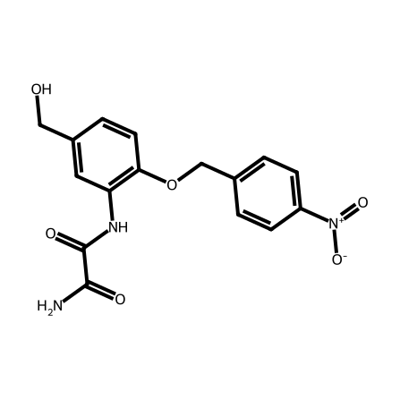 NC(=O)C(=O)Nc1cc(CO)ccc1OCc1ccc([N+](=O)[O-])cc1